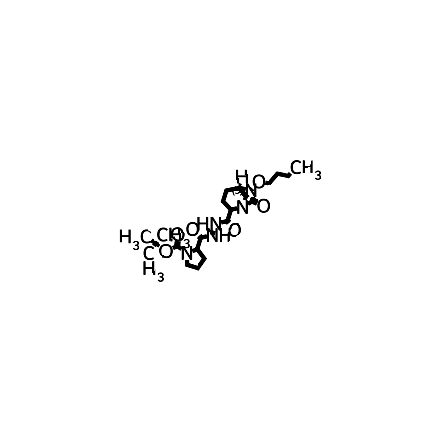 CCCCON1C(=O)N2C[C@@H]1CCC2C(=O)NNC(=O)C1CCCN1C(=O)OC(C)(C)C